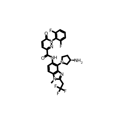 Cn1c(CC(F)(F)F)nc2c(N3CC[C@@H](N)C3)c(NC(=O)c3ccc(=O)n(-c4c(F)cccc4F)n3)ccc21